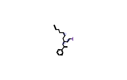 C=CCC/C=C\CC(=C/C(=C)c1ccccc1)/C=C/I